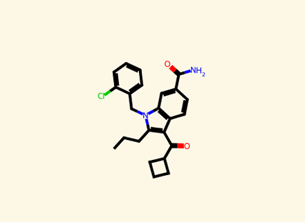 CCCc1c(C(=O)C2CCC2)c2ccc(C(N)=O)cc2n1Cc1ccccc1Cl